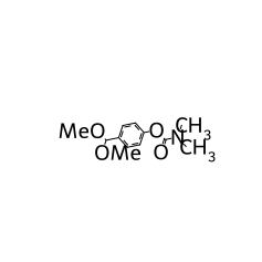 COC(OC)c1ccc(OC(=O)N(C)C)cc1